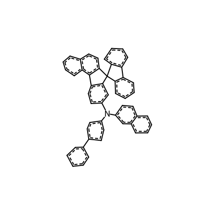 c1ccc(-c2ccc(N(c3ccc4c(c3)C3(c5ccccc5-c5ccccc53)c3ccc5ccccc5c3-4)c3ccc4ccccc4c3)cc2)cc1